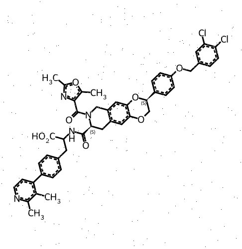 Cc1nc(C(=O)N2Cc3cc4c(cc3C[C@H]2C(=O)NC(Cc2ccc(-c3ccnc(C)c3C)cc2)C(=O)O)OC[C@H](c2ccc(OCc3ccc(Cl)c(Cl)c3)cc2)O4)c(C)o1